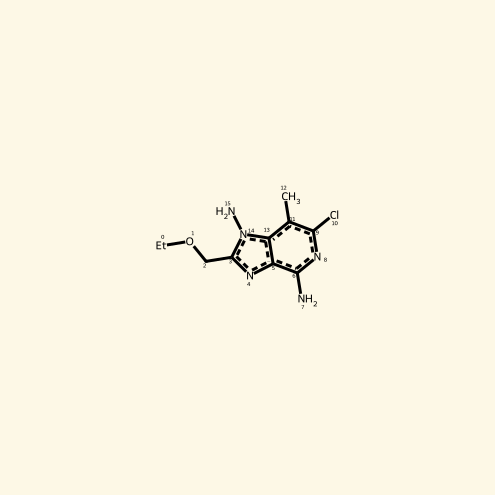 CCOCc1nc2c(N)nc(Cl)c(C)c2n1N